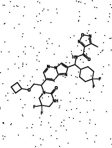 Cc1nonc1C(=O)NC(c1cn2ncc(C(COC3CCC3)N3CC(F)(F)CNC3=O)cc2n1)C1CCC(F)(F)CC1